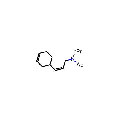 CCCN(C/C=C\C1CC=CCC1)C(C)=O